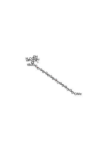 CCCC(c1cc(C(C)(C)C)c(O)cc1C)c1cc(C(C)(C)C)c(OCCOCCOCCOCCOCCOCCOCCOCCOCCOCCOCCOCCOCCOCCOCCOCCOCCOC)cc1C